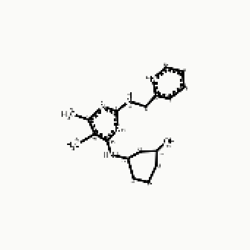 Cc1nc(NCc2ccccn2)nc(NC2CCCC(O)C2)c1C